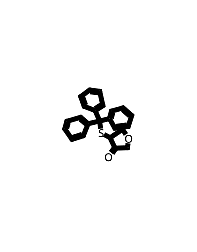 O=C1COCC1SC(c1ccccc1)(c1ccccc1)c1ccccc1